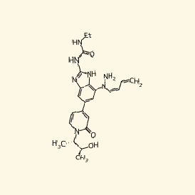 C=C/C=C\N(N)c1cc(-c2ccn([C@@H](C)[C@H](C)O)c(=O)c2)cc2nc(NC(=O)NCC)[nH]c12